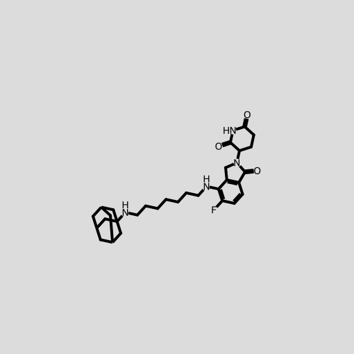 O=C1CCC(N2Cc3c(ccc(F)c3NCCCCCCCNC34CC5CC(CC(C5)C3)C4)C2=O)C(=O)N1